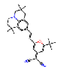 CC1(C)Cc2cc(C=CC3=CC(=C(C#N)C#N)C=C(C(C)(C)C)O3)cc3c2N(CCC3(C)C)C1